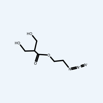 [N-]=[N+]=NCCOC(=O)C(CO)CO